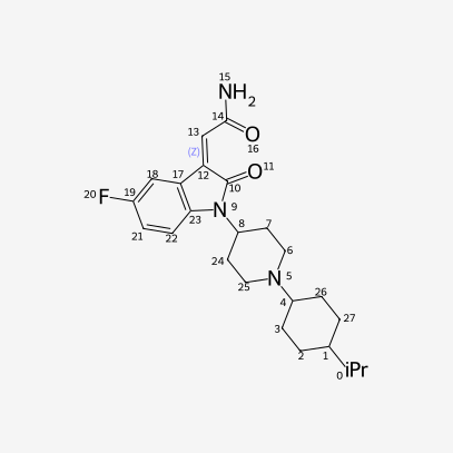 CC(C)C1CCC(N2CCC(N3C(=O)/C(=C\C(N)=O)c4cc(F)ccc43)CC2)CC1